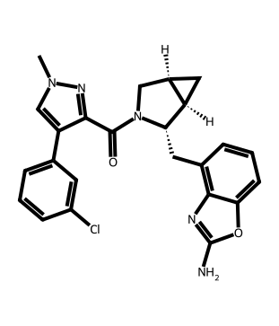 Cn1cc(-c2cccc(Cl)c2)c(C(=O)N2C[C@H]3C[C@H]3[C@@H]2Cc2cccc3oc(N)nc23)n1